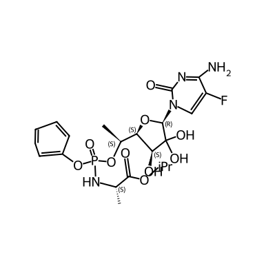 CC(C)OC(=O)[C@H](C)NP(=O)(Oc1ccccc1)O[C@@H](C)[C@H]1O[C@@H](n2cc(F)c(N)nc2=O)C(O)(O)[C@H]1O